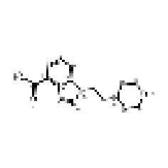 O=C(O)c1cccc2c1cnn2CCN1CCOCC1